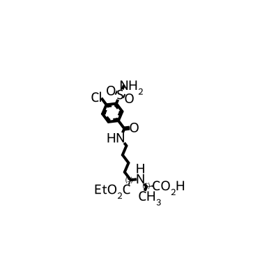 CCOC(=O)[C@H](CCCCNC(=O)c1ccc(Cl)c(S(N)(=O)=O)c1)N[C@@H](C)C(=O)O